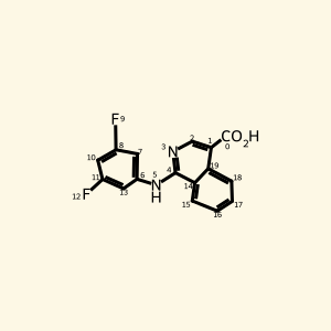 O=C(O)c1cnc(Nc2cc(F)cc(F)c2)c2ccccc12